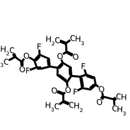 C=C(C)C(=O)Oc1cc(F)c(-c2cc(OC(=O)C(=C)C)c(-c3cc(F)c(OC(=O)C(=C)C)c(F)c3)cc2OC(=O)C(=C)C)c(F)c1